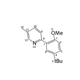 COc1ccc(C(C)(C)C)cc1-c1ccc(C)cn1